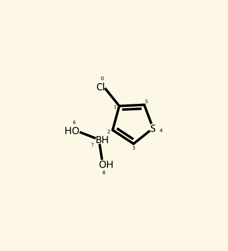 Clc1ccsc1.OBO